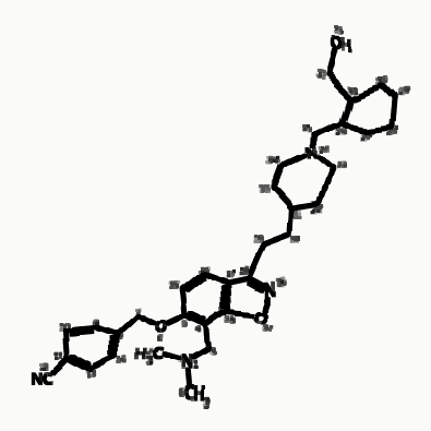 CN(C)Cc1c(OCc2ccc(C#N)cc2)ccc2c(CCC3CCN(CC4CCCCC4CO)CC3)noc12